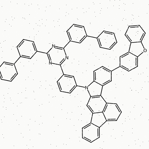 c1ccc(-c2cccc(-c3nc(-c4cccc(-c5ccccc5)c4)nc(-c4cccc(-n5c6ccc(-c7ccc8oc9ccccc9c8c7)cc6c6c7cccc8c7c(cc65)-c5ccccc5-8)c4)n3)c2)cc1